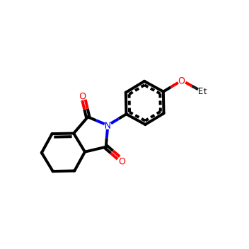 CCOc1ccc(N2C(=O)C3=CCCCC3C2=O)cc1